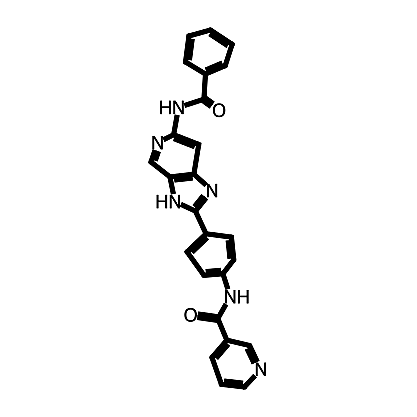 O=C(Nc1ccc(-c2nc3cc(NC(=O)c4ccccc4)ncc3[nH]2)cc1)c1cccnc1